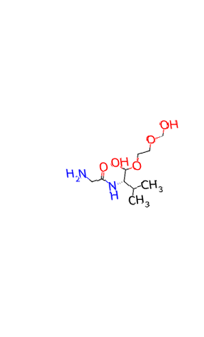 CC(C)[C@H](NC(=O)CN)C(O)OCCOCO